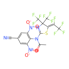 CC(=O)N(C1=NC(C(F)(F)F)(C(F)(F)F)/C(=C(\F)C(F)(F)F)S1)c1c([N+](=O)[O-])cc(C#N)cc1[N+](=O)[O-]